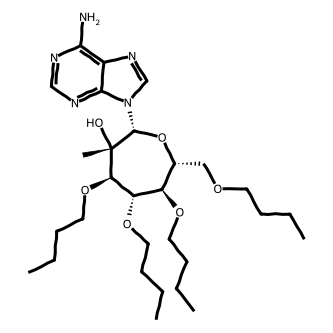 CCCCOC[C@H]1O[C@@H](n2cnc3c(N)ncnc32)[C@@](C)(O)[C@H](OCCCC)[C@@H](OCCCC)[C@@H]1OCCCC